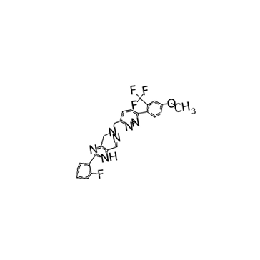 COc1ccc(-c2ccc(CN3Cc4nc(-c5ccccc5F)[nH]c4C=N3)nn2)c(C(F)(F)F)c1